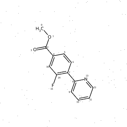 COC(=O)c1ccc(-c2ccccn2)c(F)c1